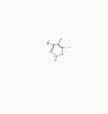 CC1=C(F)CN(C)C=C1Br